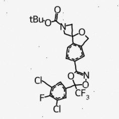 CC(C)(C)OC(=O)N1CC2(C1)OCc1cc(C3=NOC(c4cc(Cl)c(F)c(Cl)c4)(C(F)(F)F)O3)ccc12